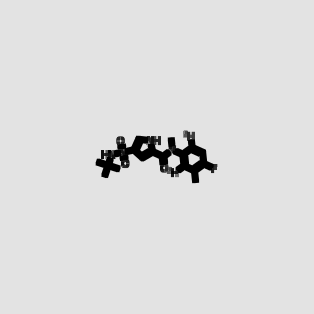 [2H]c1cc(F)c(C)c([2H])c1N(C)C(=O)c1cc(S(=O)(=O)NC(C)(C)C)c[nH]1